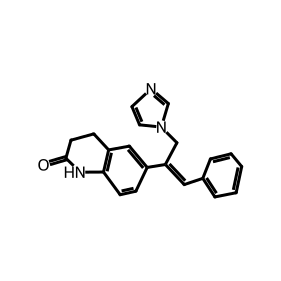 O=C1CCc2cc(C(=Cc3ccccc3)Cn3ccnc3)ccc2N1